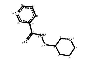 O=C(NOC1CCCOC1)c1cccnc1